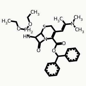 CCO[PH2](NC1C(=O)N2C(C(=O)OC(c3ccccc3)c3ccccc3)=C(C=C(C)N(C)C)CSC12)OCC